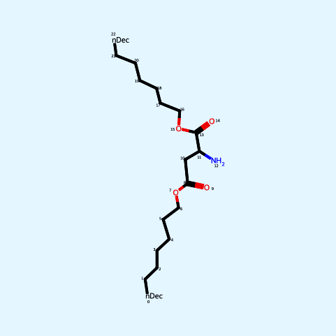 CCCCCCCCCCCCCCCCOC(=O)CC(N)C(=O)OCCCCCCCCCCCCCCCC